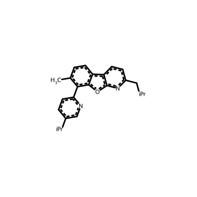 Cc1ccc2c(oc3nc(CC(C)C)ccc32)c1-c1ccc(C(C)C)cn1